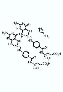 NCCN.Nc1nc(=O)c2c([nH]1)NC[C@@H](CNc1ccc(C(=O)N[C@@H](CCC(=O)O)C(=O)O)cc1)N2.Nc1nc(=O)c2c([nH]1)NC[C@@H](CNc1ccc(C(=O)N[C@@H](CCC(=O)O)C(=O)O)cc1)N2